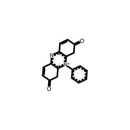 O=C1C=Cc2nc3c([n+](-c4ccccc4)c2C1)CC(=O)C=C3